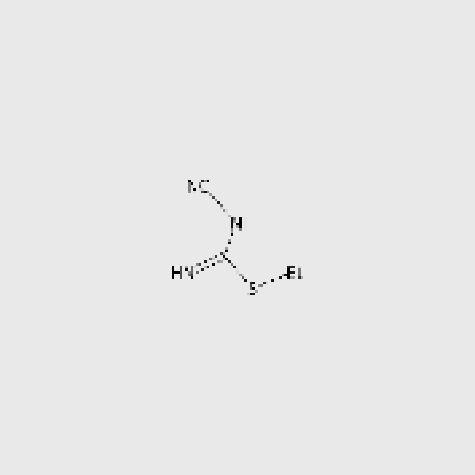 CCSC(=N)NC#N